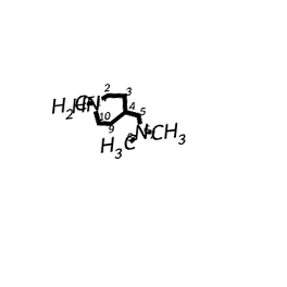 [CH2-][NH+]1CCC(CN(C)C)CC1